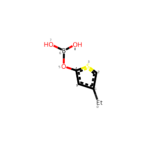 CCc1csc(OB(O)O)c1